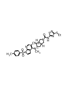 CCSc1nsc(NC(=O)N2C[C@H]3C[C@H](N(C)c4c(C#N)cnc5c4ccn5S(=O)(=O)c4ccc(C)cc4)C[C@H]3C2)n1